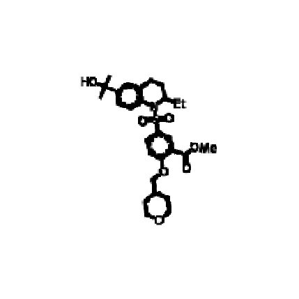 CCC1CCc2cc(C(C)(C)O)ccc2N1S(=O)(=O)c1ccc(OCC2CCOCC2)c(C(=O)OC)c1